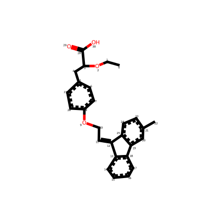 CCOC(Cc1ccc(OCC=C2c3ccccc3-c3cc(C)ccc32)cc1)C(=O)O